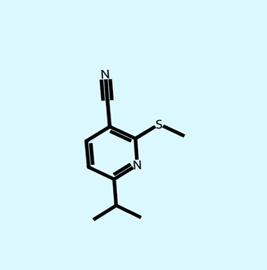 CSc1nc(C(C)C)ccc1C#N